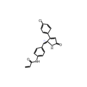 C=CC(=O)Nc1ccc(/C=C2\NC(=O)C=C2c2ccc(Cl)cc2)cc1